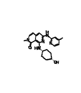 Cc1ccnc(Nc2cc3ccn(C)c(=O)c3c(N[C@H]3CC[C@@H](O)CC3)n2)c1